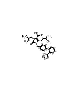 CC(C)CCc1c(C(=O)O)n(CC(C)C)c(=O)n1Cc1ccc(-c2ccccc2-c2nnn[nH]2)cc1